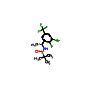 C[C@@H](N[S@+]([O-])C(C)(C)C)c1cc(C(F)(F)F)cc(Br)c1F